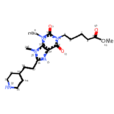 CCCCn1c(=O)n(CCCCC(=O)OC)c(=O)c2nc(CCC3CCNCC3)n(C)c21